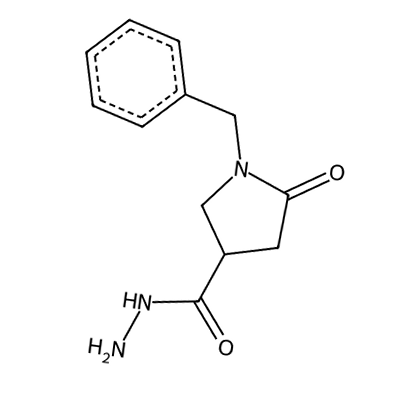 NNC(=O)C1CC(=O)N(Cc2ccccc2)C1